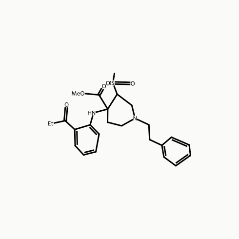 CCC(=O)c1ccccc1NC1(C(=O)OC)CCN(CCc2ccccc2)CC1S(C)(=O)=O